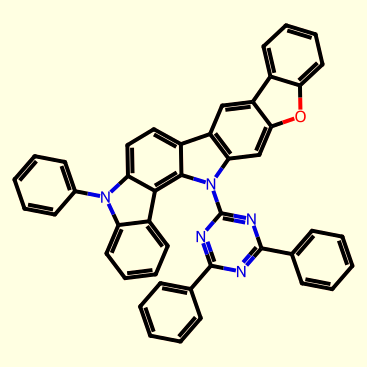 c1ccc(-c2nc(-c3ccccc3)nc(-n3c4cc5oc6ccccc6c5cc4c4ccc5c(c6ccccc6n5-c5ccccc5)c43)n2)cc1